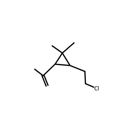 C=C(C)C1C(CCCl)C1(C)C